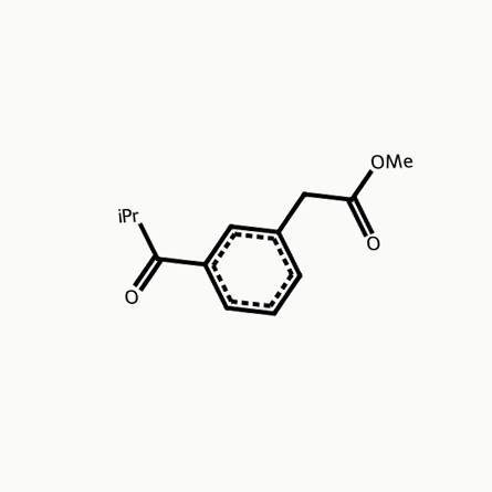 COC(=O)Cc1cccc(C(=O)C(C)C)c1